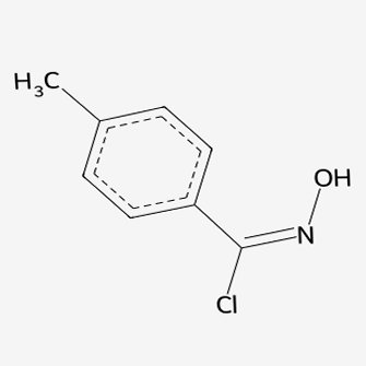 Cc1ccc(/C(Cl)=N\O)cc1